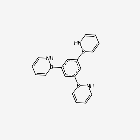 C1=CNB(c2cc(B3C=CC=CN3)cc(B3C=CC=CN3)c2)C=C1